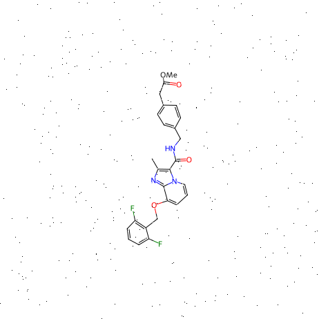 COC(=O)Cc1ccc(CNC(=O)c2c(C)nc3c(OCc4c(F)cccc4F)cccn23)cc1